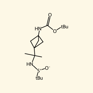 CC(C)(C)OC(=O)NC12CC(C(C)(C)N[S+]([O-])C(C)(C)C)(C1)C2